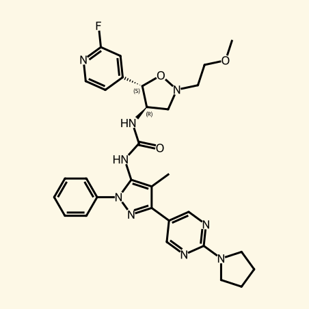 COCCN1C[C@@H](NC(=O)Nc2c(C)c(-c3cnc(N4CCCC4)nc3)nn2-c2ccccc2)[C@H](c2ccnc(F)c2)O1